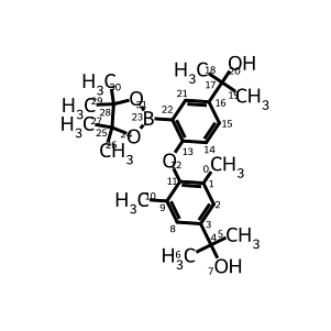 Cc1cc(C(C)(C)O)cc(C)c1Oc1ccc(C(C)(C)O)cc1B1OC(C)(C)C(C)(C)O1